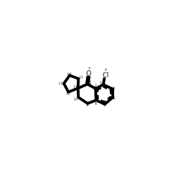 O=C1c2c(Cl)cccc2CCC12CCCC2